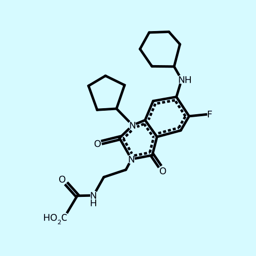 O=C(O)C(=O)NCCn1c(=O)c2cc(F)c(NC3CCCCC3)cc2n(C2CCCC2)c1=O